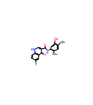 CC(C)(C)c1cc(C(C)(C)C)c(NC(=O)c2c[nH]c3ccc(F)cc3c2=O)cc1O